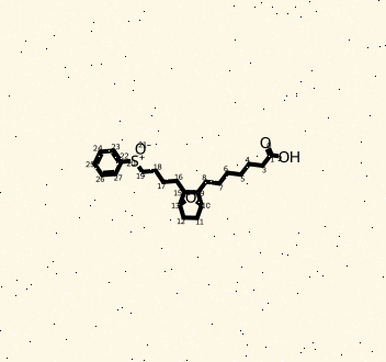 O=C(O)CCCCCCC1C2CCC(O2)C1CCCC[S+]([O-])c1ccccc1